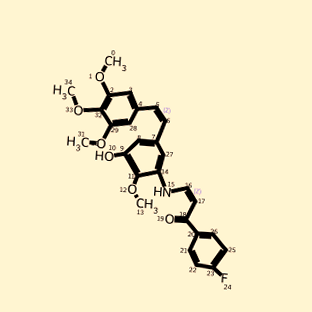 COc1cc(/C=C\c2cc(O)c(OC)c(N/C=C\C(=O)c3ccc(F)cc3)c2)cc(OC)c1OC